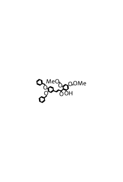 COCOc1cc(O)c(C(=O)/C=C/c2ccc(OCc3ccccc3)c(OCc3ccccc3)c2)c(OCOC)c1